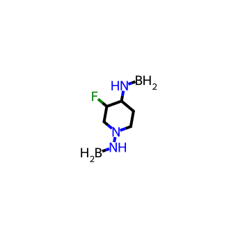 BNC1CCN(NB)CC1F